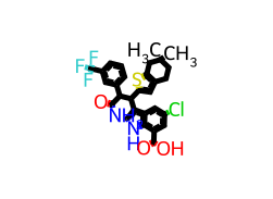 CC1(C)CCc2cc(C(c3c[nH]c4c(C(=O)O)cc(Cl)cc34)C(C(N)=O)c3cccc(C(F)(F)F)c3)sc2C1